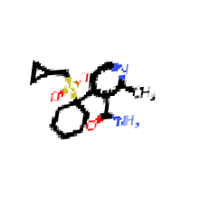 Cc1nccc(C2(S(=O)(=O)CC3CC3)CCCCC2)c1C(N)=O